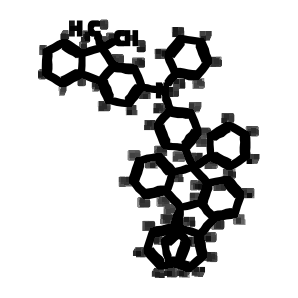 CC1(C)c2ccccc2-c2ccc(N(c3ccccc3)c3ccc(C4(c5ccccc5)c5ccccc5C5(c6ccccc6)c6ccccc6-c6cccc4c65)cc3)cc21